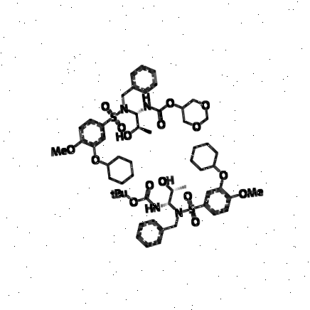 COc1ccc(S(=O)(=O)N(Cc2ccccc2)[C@H](NC(=O)OC(C)(C)C)[C@@H](C)O)cc1OC1CCCCC1.COc1ccc(S(=O)(=O)N(Cc2ccccc2)[C@H](NC(=O)OC2COCOC2)[C@@H](C)O)cc1OC1CCCCC1